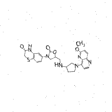 COc1ccc2nccc(N3CCC(NCC4CN(c5ccc6c(c5)NC(=O)CS6)C(=O)O4)C3)c2n1